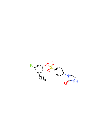 Cc1cc(F)cc(OS(=O)(=O)c2ccc(N3CCNC3=O)cc2)c1